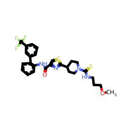 COCCCNC(=S)N1CCC(c2nc(C(=O)Nc3ccccc3-c3cccc(C(F)(F)F)c3)cs2)CC1